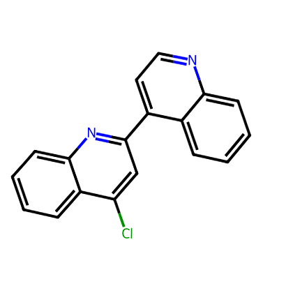 Clc1cc(-c2ccnc3ccccc23)nc2ccccc12